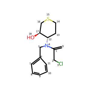 C=C(CCl)N(Cc1ccccc1)[C@H]1CCSC[C@@H]1O